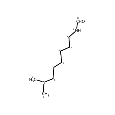 CN(C)CCCCCCN[C]=O